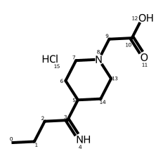 CCCC(=N)C1CCN(CC(=O)O)CC1.Cl